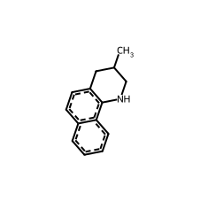 CC1CNc2c(ccc3ccccc23)C1